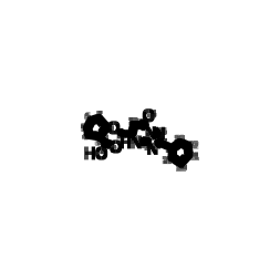 O=C(O)c1ccccc1OCc1cc(=O)n2nc(-c3ccccc3)nc2[nH]1